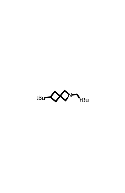 CC(C)(C)CN1CC2(CC(C(C)(C)C)C2)C1